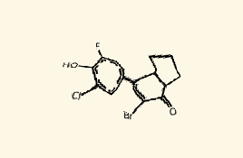 O=C1C(Br)=C(c2cc(F)c(O)c(Cl)c2)C2CCCC12